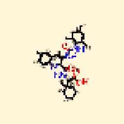 Cc1cc(C)c(NC(=O)Nc2cc3ccccc3nc2C(=O)N[C@H](C(=O)O)C2(C)CCCCC2)c(C)c1